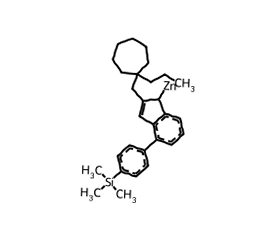 CCCC1(CC2=Cc3c(-c4ccc([Si](C)(C)C)cc4)cccc3[CH]2[Zn])CCCCCC1